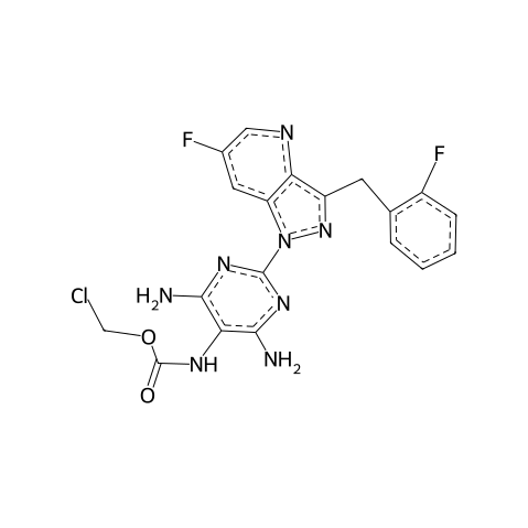 Nc1nc(-n2nc(Cc3ccccc3F)c3ncc(F)cc32)nc(N)c1NC(=O)OCCl